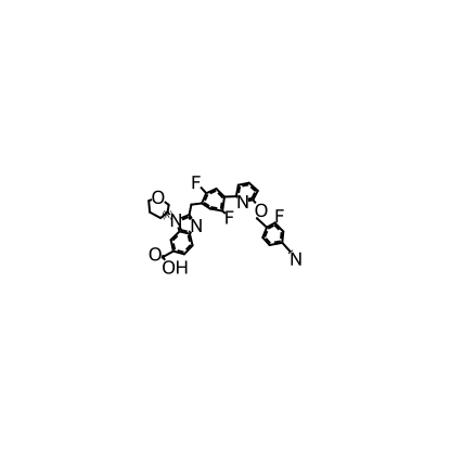 N#Cc1ccc(COc2cccc(-c3cc(F)c(Cc4nc5ccc(C(=O)O)cc5n4[C@@H]4CCCOC4)cc3F)n2)c(F)c1